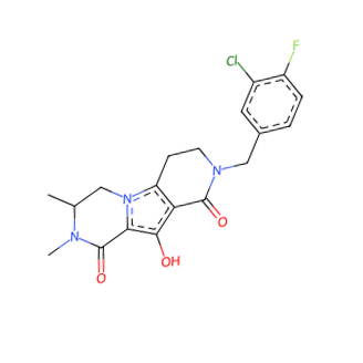 CC1Cn2c3c(c(O)c2C(=O)N1C)C(=O)N(Cc1ccc(F)c(Cl)c1)CC3